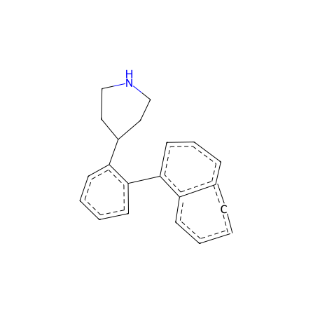 c1ccc(C2CCNCC2)c(-c2cccc3ccccc23)c1